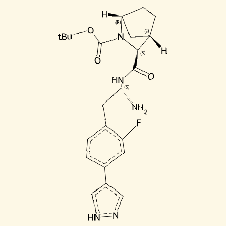 CC(C)(C)OC(=O)N1[C@@H]2CC[C@@H](C2)[C@H]1C(=O)N[C@H](N)Cc1ccc(-c2cn[nH]c2)cc1F